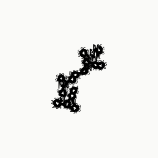 c1ccc2cc3c(cc2c1)c1c2c(cc4c5ccccc5n3c41)c1ccccc1n2-c1ccc(-c2nc(-c3ccc4cc(-c5ccc6c(c5)c5cc7c8ccccc8n(-c8ncc9cccnc9n8)c7c7c8cc9ccccc9cc8n6c57)ccc4c3)c3ccccc3n2)cc1